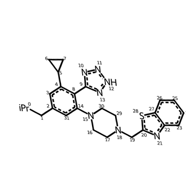 CC(C)Cc1cc(C2CC2)c(-c2nn[nH]n2)c(N2CCN(Cc3nc4ccccc4s3)CC2)c1